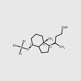 CC[Si](CC)(CC)O[C@H]1CCC[C@@]2(C)C1CC[C@@H]2C(C)CCC=O